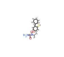 CC(Cc1ccc2c(c1)sc1ccccc12)N(O)C(N)=O